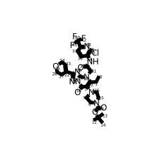 CCc1c(N2CCN(C(=O)OC(C)(C)C)CC2)c(=O)n2nc(C3=CCOCC3)nc2n1CC(=O)Nc1ccc(C(F)(F)F)nc1Cl